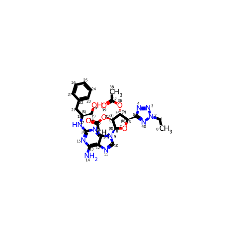 CCn1nnc([C@H]2O[C@@H](n3cnc4c(N)nc(N[C@H](CO)Cc5ccccc5)nc43)[C@@H](OC(C)=O)[C@@H]2OC(C)=O)n1